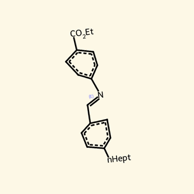 CCCCCCCc1ccc(/C=N/c2ccc(C(=O)OCC)cc2)cc1